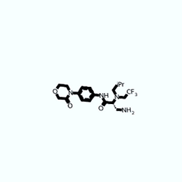 CC(C)CN(CC(F)(F)F)[C@H](CN)C(=O)Nc1ccc(N2CCOCC2=O)cc1